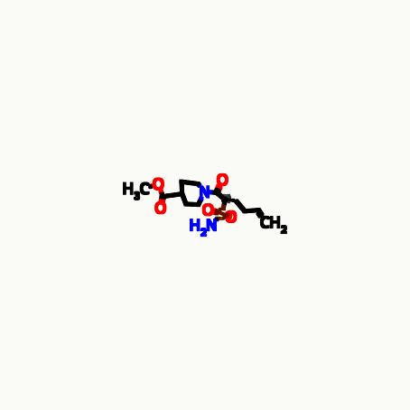 C=CCC[C@@H](C(=O)N1CCC(C(=O)OC)CC1)S(N)(=O)=O